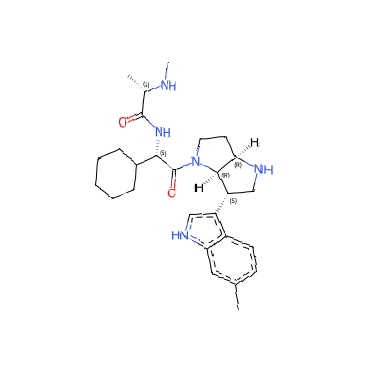 CN[C@@H](C)C(=O)N[C@H](C(=O)N1CC[C@H]2NC[C@H](c3c[nH]c4cc(C)ccc34)[C@H]21)C1CCCCC1